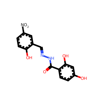 O=C(N/N=C/c1cc([N+](=O)[O-])ccc1O)c1ccc(O)cc1O